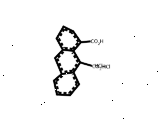 Cl.Cl.O=C(O)c1cccc2cc3ccccc3c(C(=O)O)c12